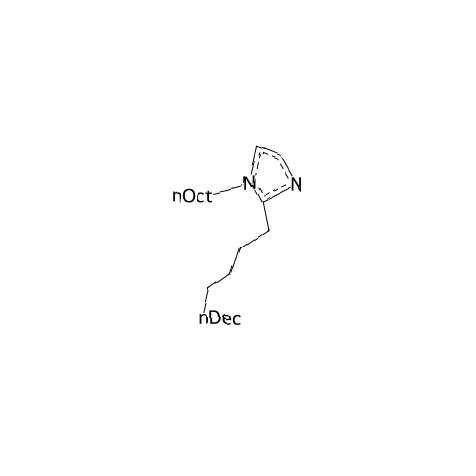 CCCCCCCCCCCCCCc1nccn1CCCCCCCC